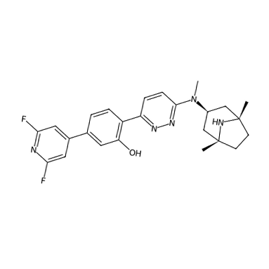 CN(c1ccc(-c2ccc(-c3cc(F)nc(F)c3)cc2O)nn1)[C@H]1C[C@]2(C)CC[C@](C)(C1)N2